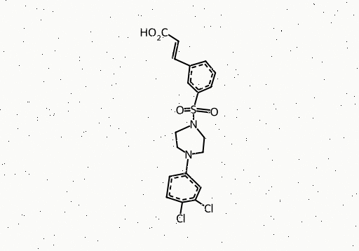 O=C(O)C=Cc1cccc(S(=O)(=O)N2CCN(c3ccc(Cl)c(Cl)c3)CC2)c1